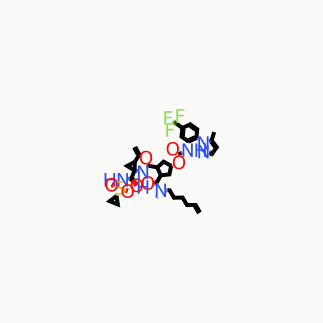 C=CCCCCN(C)C(=O)C1CC(OC(=O)Nc2cc(C(F)(F)F)ccc2-n2nccc2C)CC1C(=O)NC1(C(=O)NS(=O)(=O)C2CC2)CC1C=C